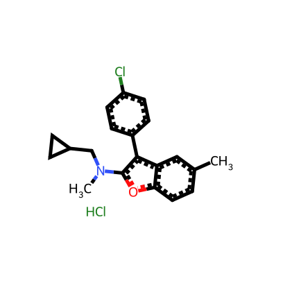 Cc1ccc2oc(N(C)CC3CC3)c(-c3ccc(Cl)cc3)c2c1.Cl